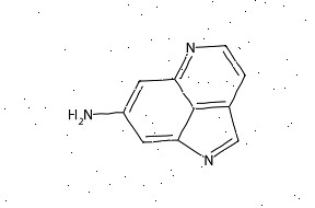 Nc1cc2c3c(ccnc3c1)C=N2